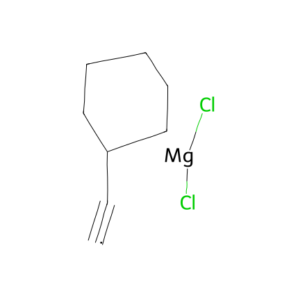 [C]#CC1CCCCC1.[Cl][Mg][Cl]